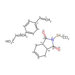 C=CC(=O)O.C=Cc1ccccc1.O=C1C2CC=CCC2C(=O)N1SC(Cl)(Cl)Cl